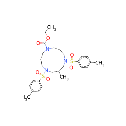 CCOC(=O)N1CCCN(S(=O)(=O)c2ccc(C)cc2)CC(C)CN(S(=O)(=O)c2ccc(C)cc2)CCC1